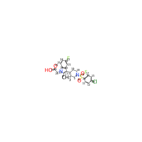 Cc1c(C2CCN(S(=O)(=O)c3ccc(Cl)cc3F)CC2)c2cc(F)ccc2n1CC(=O)O